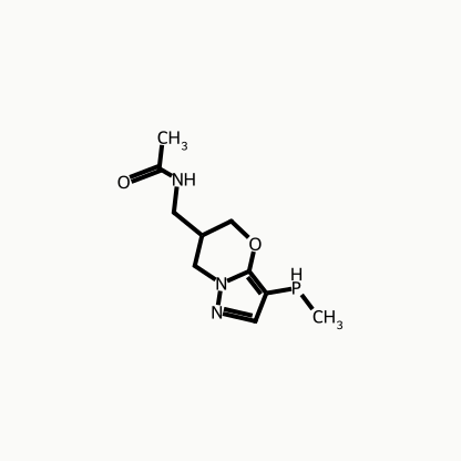 CPc1cnn2c1OCC(CNC(C)=O)C2